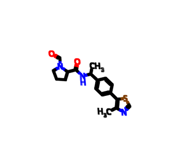 Cc1ncsc1-c1ccc(C(C)NC(=O)C2CCCN2C=O)cc1